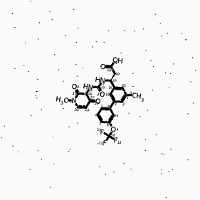 Cc1cc(-c2cccc(OC(F)(F)F)c2)cc([C@H](CC(=O)O)NC(=O)NC2C(=O)C=CN(C)C2=O)c1